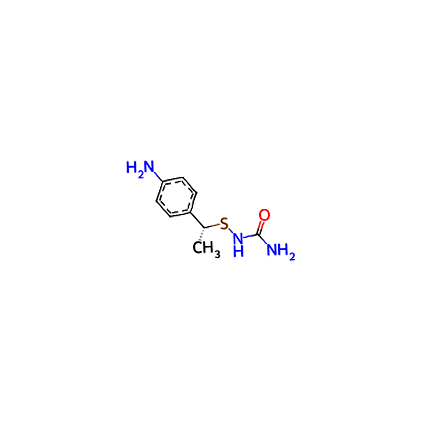 C[C@@H](SNC(N)=O)c1ccc(N)cc1